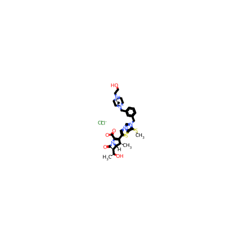 CSc1c2sc(C3=C(C(=O)[O-])N4C(=O)[C@H]([C@@H](C)O)[C@H]4[C@H]3C)c[n+]2cn1Cc1cccc(C[N+]23CC[N+](CCO)(CC2)CC3)c1.[Cl-].[Cl-]